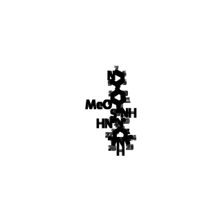 COc1cc(-c2cccnc2)ccc1C(=N)SC(=N)N(C)C1CC(C)(C)NC(C)(C)C1